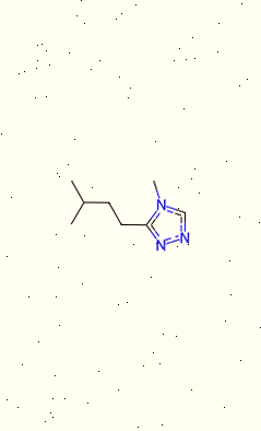 CC(C)CCc1nncn1C